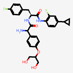 NC(C(=O)N[C@@H](Cc1ccc(F)cc1)C(=O)Nc1ccc(C2CC2)cc1F)c1ccc(OC(CO)CO)cc1